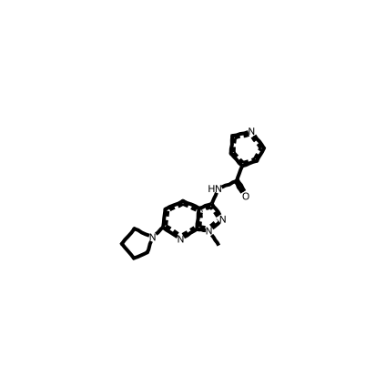 Cn1nc(NC(=O)c2ccncc2)c2ccc(N3CCCC3)nc21